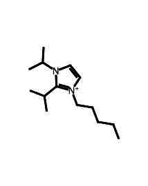 CCCCC[n+]1ccn(C(C)C)c1C(C)C